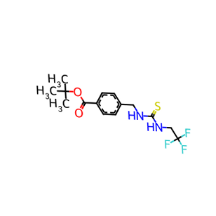 CC(C)(C)OC(=O)c1ccc(CNC(=S)NCC(F)(F)F)cc1